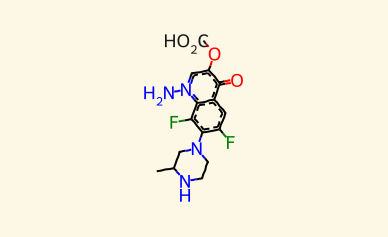 CC1CN(c2c(F)cc3c(=O)c(OC(=O)O)cn(N)c3c2F)CCN1